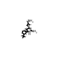 CC(C)(C)C1CCc2sc3c(c2C1)NC(N)N=C3N1CC(CN)C1